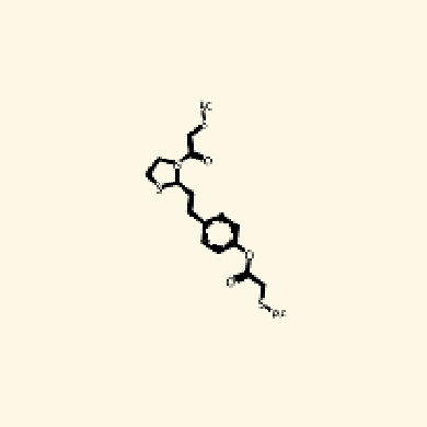 CC(=O)SCC(=O)Oc1ccc(CCC2SCCN2C(=O)CSC(C)=O)cc1